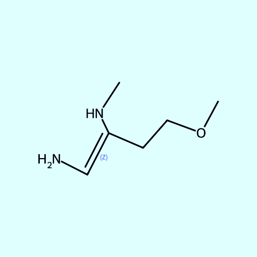 CN/C(=C\N)CCOC